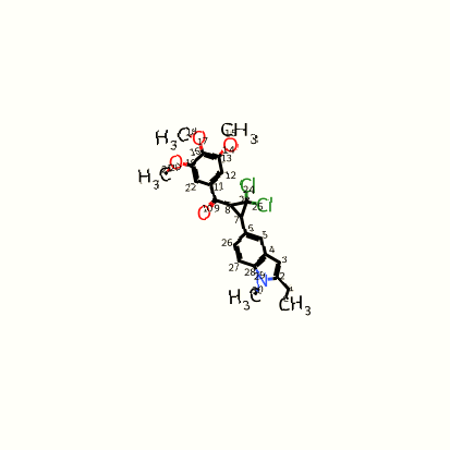 CCc1cc2cc(C3C(C(=O)c4cc(OC)c(OC)c(OC)c4)C3(Cl)Cl)ccc2n1C